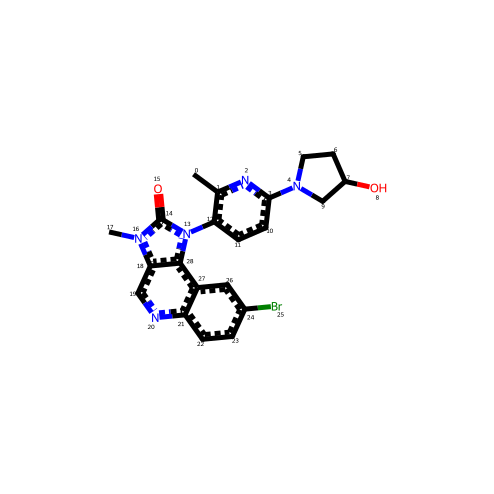 Cc1nc(N2CCC(O)C2)ccc1-n1c(=O)n(C)c2cnc3ccc(Br)cc3c21